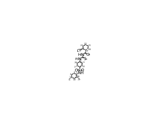 Cc1ccc(NS(=O)(=O)c2ccc(NC(=S)NC(=O)c3ccccc3Cl)cc2)c(C)c1